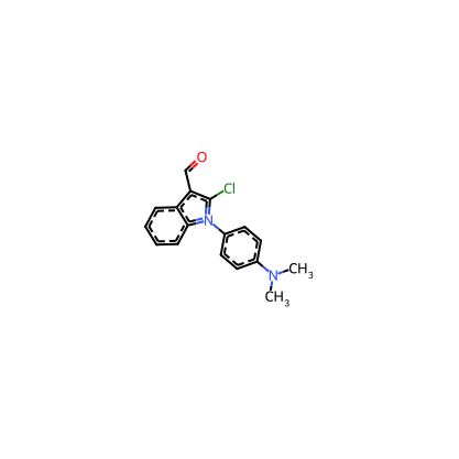 CN(C)c1ccc(-n2c(Cl)c(C=O)c3ccccc32)cc1